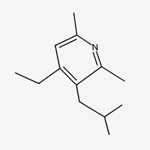 CCc1cc(C)nc(C)c1CC(C)C